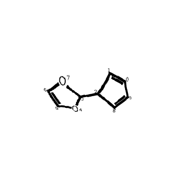 C1=CC([C]2OC=CO2)C=C1